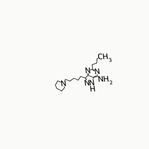 CCCCc1nc(N)c2[nH]nc(CCCCCN3CCCCC3)c2n1